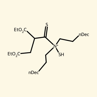 CCCCCCCCCCCC[N+](S)(CCCCCCCCCCCC)C(=S)C(CC(=O)OCC)C(=O)OCC